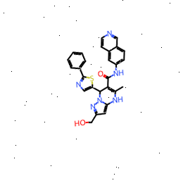 CC1=C(C(=O)Nc2ccc3cnccc3c2)C(c2cnc(-c3ccccc3)s2)n2nc(CO)cc2N1